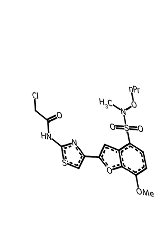 CCCON(C)S(=O)(=O)c1ccc(OC)c2oc(-c3csc(NC(=O)CCl)n3)cc12